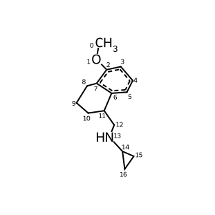 COc1cccc2c1CCCC2CNC1CC1